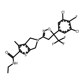 CCNC(=O)c1sc2c(c1C)CN(C1=NOC(c3cc(Cl)c(F)c(Cl)c3)(C(F)(F)F)C1)C2